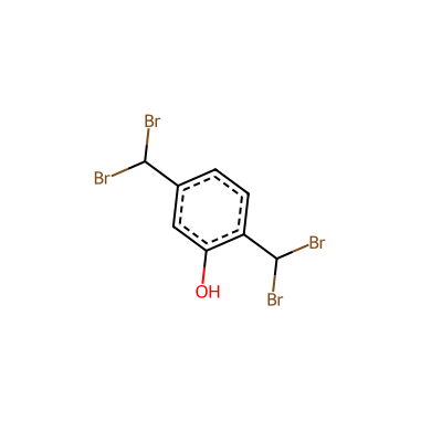 Oc1cc(C(Br)Br)ccc1C(Br)Br